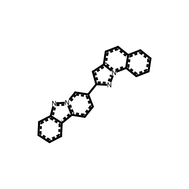 c1ccc2c(c1)ccc1cc(-c3ccc4c5ccccc5nn4c3)nn12